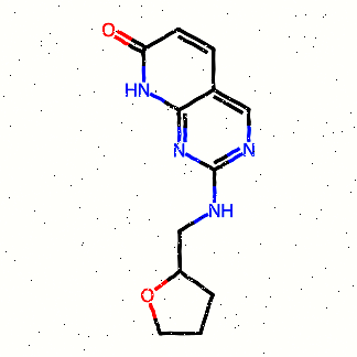 O=c1ccc2cnc(NCC3CCCO3)nc2[nH]1